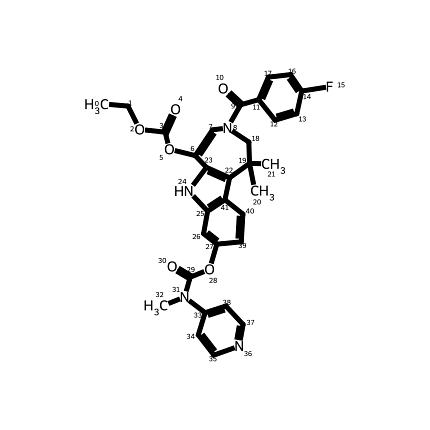 CCOC(=O)OC1=CN(C(=O)c2ccc(F)cc2)CC(C)(C)c2c1[nH]c1cc(OC(=O)N(C)c3ccncc3)ccc21